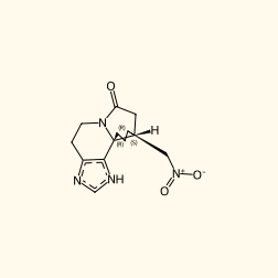 O=C1C[C@H]2[C@H](C[N+](=O)[O-])CC[C@]23c2[nH]cnc2CCN13